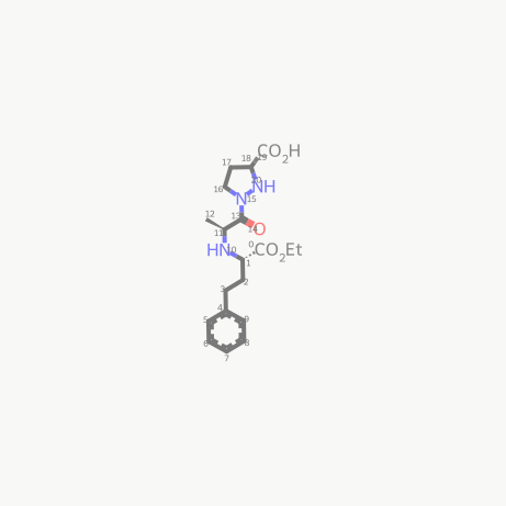 CCOC(=O)[C@H](CCc1ccccc1)N[C@@H](C)C(=O)N1CCC(C(=O)O)N1